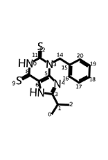 CC(C)c1nc2c([nH]1)c(=S)[nH]c(=S)n2Cc1ccccc1